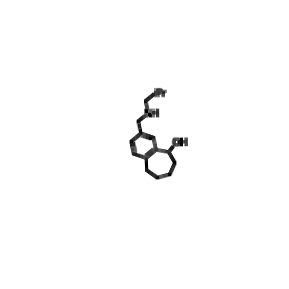 CC(C)CNCc1ccc2c(c1)C(O)CCCC2